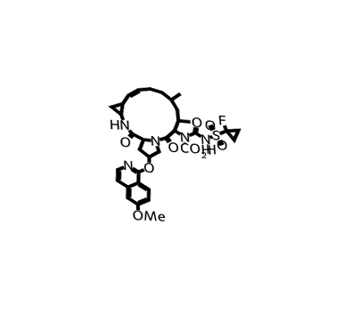 COc1ccc2c(OC3CC4C(=O)NC5CC5C=CCCC(C)CC(C)C(N(C(=O)O)C(=O)NS(=O)(=O)C5(F)CC5)C(=O)N4C3)nccc2c1